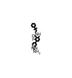 Cc1ccc(-c2ccn3nc(N)nc3c2)c(F)c1C(=O)NCCC(C)(C)c1ccccc1